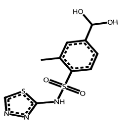 Cc1cc(C(O)O)ccc1S(=O)(=O)Nc1nncs1